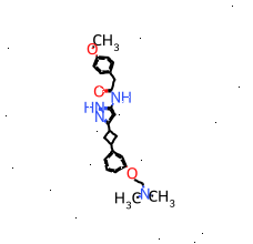 COc1ccc(CC(=O)Nc2cc(C3CC(c4cccc(OCCN(C)C)c4)C3)n[nH]2)cc1